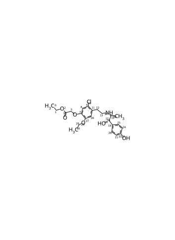 CCOC(=O)COc1cc(Cl)c(CCN[C@@H](C)[C@@H](O)c2ccc(O)cc2)cc1OCC